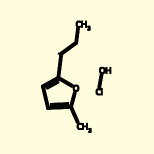 CC[CH]c1ccc(C)o1.OCl